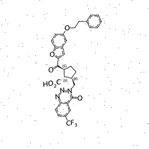 O=C(O)[C@H]1[C@H](Cn2nnc3ccc(C(F)(F)F)cc3c2=O)CC[C@@H]1C(=O)c1cc2cc(OCCc3ccccc3)ccc2o1